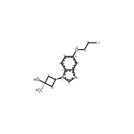 C[C@]1(O)C[C@@H](n2cnc3cc(OCCI)ccc32)C1